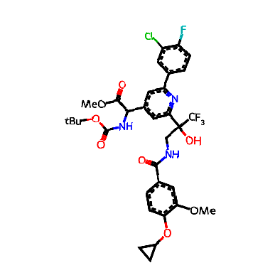 COC(=O)C(NC(=O)OC(C)(C)C)c1cc(-c2ccc(F)c(Cl)c2)nc(C(O)(CNC(=O)c2ccc(OC3CC3)c(OC)c2)C(F)(F)F)c1